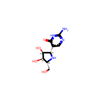 Nc1ncc([C@@H]2N[C@H](CO)[C@@H](O)[C@H]2O)c(=O)[nH]1